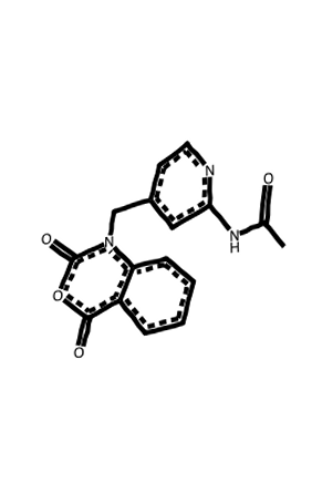 CC(=O)Nc1cc(Cn2c(=O)oc(=O)c3ccccc32)ccn1